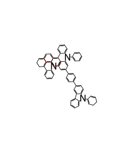 C1=CCCC(c2ccccc2N(c2ccccc2)c2cc(-c3ccc(-c4ccc5c(c4)c4ccccc4n5C4=CCCC=C4)cc3)cc(N(c3ccccc3)c3ccccc3-c3ccccc3)c2)=C1